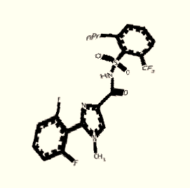 CCCc1cccc(C(F)(F)F)c1S(=O)(=O)NC(=O)c1cn(C)c(-c2c(F)cccc2F)n1